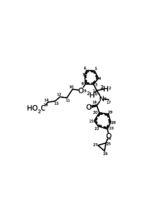 [2H]C([2H])(c1ccccc1OCCCCCC(=O)O)N(C)C(=O)c1ccc(OC2CC2)cc1